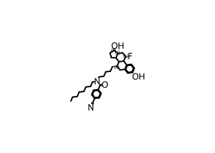 CCCCCCCCN(CCCCC[C@@H]1Cc2cc(O)ccc2C2C1C1CC[C@H](O)[C@@]1(C)C[C@@H]2F)C(=O)c1ccc(C#N)cc1